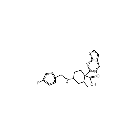 CC1CC(NCc2ccc(F)cc2)CCC1(C(=O)O)c1ncc2ccsc2n1